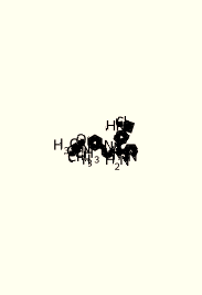 COC(C)(C)C(=O)Nc1cccc(-c2ccc3nc(-c4cccnc4N)n(-c4ccc(C5(NCl)CCC5)cc4)c3n2)c1